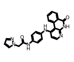 O=C(Cn1cccn1)Nc1ccc(Nc2ccnc3[nH]c(=O)c4ccccc4c23)cc1